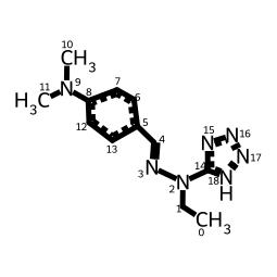 CCN(/N=C/c1ccc(N(C)C)cc1)c1nnn[nH]1